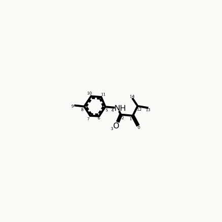 C=C(C(=O)Nc1ccc(C)cc1)C(C)C